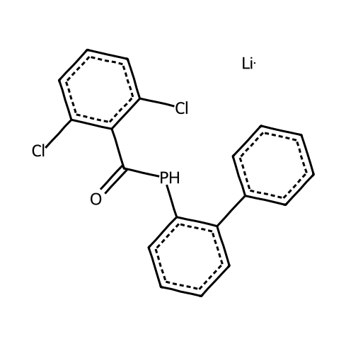 O=C(Pc1ccccc1-c1ccccc1)c1c(Cl)cccc1Cl.[Li]